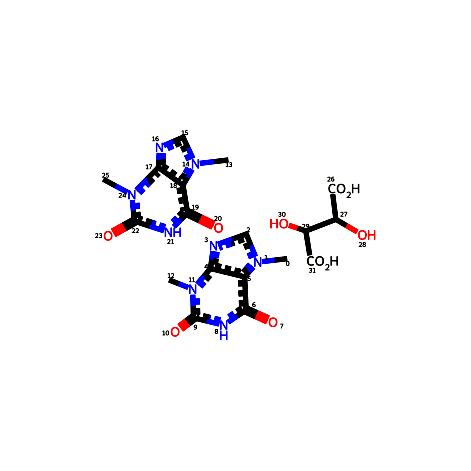 Cn1cnc2c1c(=O)[nH]c(=O)n2C.Cn1cnc2c1c(=O)[nH]c(=O)n2C.O=C(O)C(O)C(O)C(=O)O